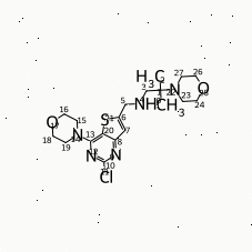 CC(C)(CNCc1cc2nc(Cl)nc(N3CCOCC3)c2s1)N1CCOCC1